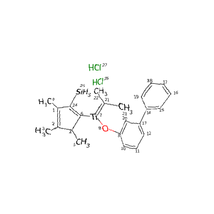 CC1=C(C)C(C)[C]([Ti]([O]c2cccc(-c3ccccc3)c2)=[C](C)C)=C1[SiH3].Cl.Cl